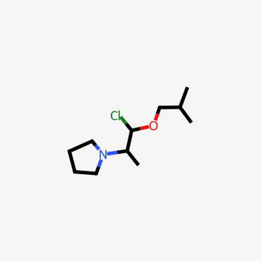 CC(C)COC(Cl)C(C)N1CCCC1